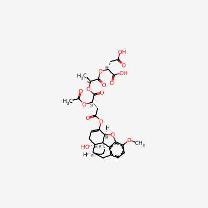 COc1ccc2c3c1O[C@@H]1C(OC(=O)C[C@H](OC(C)=O)C(=O)O[C@@H](C)C(=O)O[C@H](CC(=O)O)C(=O)O)=CC[C@]4(O)[C@@H](CCC[C@@]314)C2